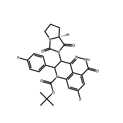 CC(C)(C)OC(=O)N1c2cc(F)cc3c(=O)[nH]nc(c23)C(N2C(=O)[C@@H]3CCCN3C2=O)C1c1ccc(F)cc1